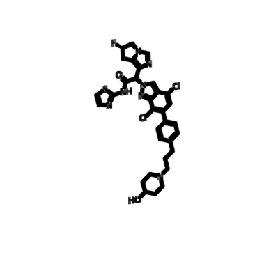 O=C(Nc1nccs1)C(c1ncn2c1C[C@@H](F)C2)n1cc2c(Cl)cc(-c3ccc(CCCN4CCC(O)CC4)cc3)c(Cl)c2n1